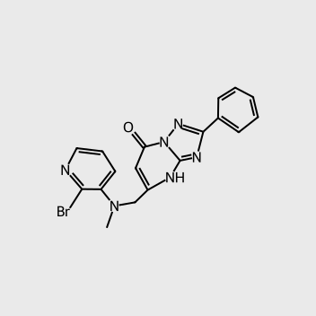 CN(Cc1cc(=O)n2nc(-c3ccccc3)nc2[nH]1)c1cccnc1Br